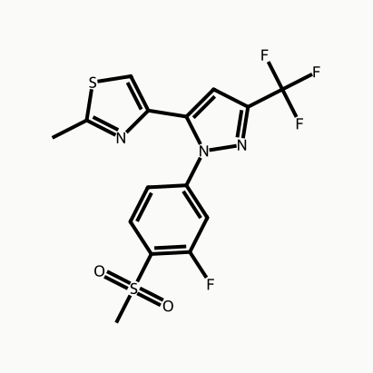 Cc1nc(-c2cc(C(F)(F)F)nn2-c2ccc(S(C)(=O)=O)c(F)c2)cs1